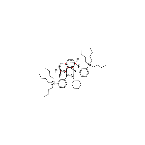 CCCC[Si](CCCC)(CCCC)c1cccc(P(c2ccccc2OC(F)(F)F)N(C2CCCCC2)P(c2cccc([Si](CCCC)(CCCC)CCCC)c2)c2ccccc2OC(F)(F)F)c1